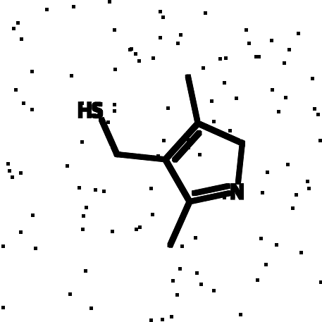 CC1=NCC(C)=C1CS